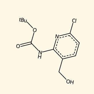 CC(C)(C)OC(=O)Nc1nc(Cl)ccc1CO